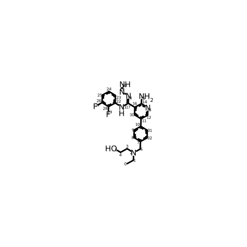 CCN(CCO)Cc1ccc(-c2cnc(N)c(/C(=N/N=N)Nc3cccc(F)c3F)c2)cc1